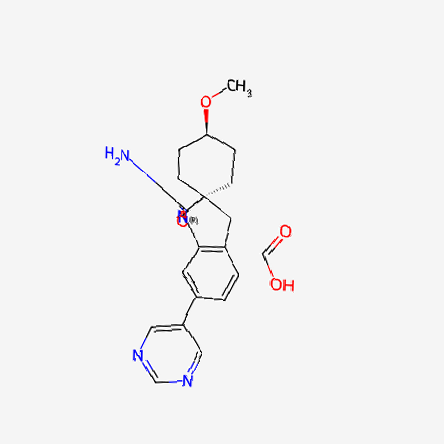 CO[C@H]1CC[C@]2(CC1)Cc1ccc(-c3cncnc3)cc1[C@@]21COC(N)=N1.O=CO